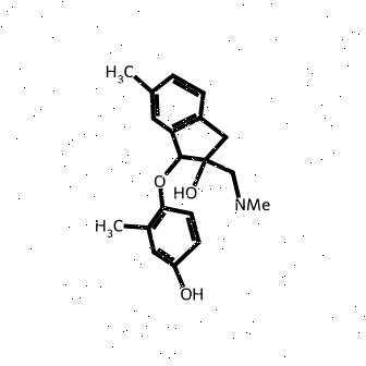 CNCC1(O)Cc2ccc(C)cc2C1Oc1ccc(O)cc1C